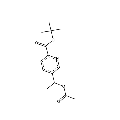 CC(=O)OC(C)c1ccc(C(=O)OC(C)(C)C)nc1